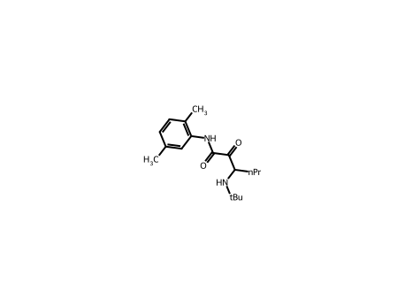 CCCC(NC(C)(C)C)C(=O)C(=O)Nc1cc(C)ccc1C